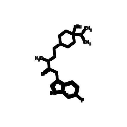 CCCCC1(N(C)C)CCN(CCN(C)C(=O)Cc2c[nH]c3cc(F)ccc23)CC1